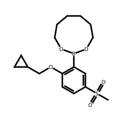 CS(=O)(=O)c1ccc(OCC2CC2)c(B2OCCCCCCO2)c1